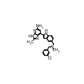 Cc1nc2c(-c3cc4cc(CN(C)Cc5cccc(Cl)c5)ccc4[nH]3)cc(N)nc2[nH]1